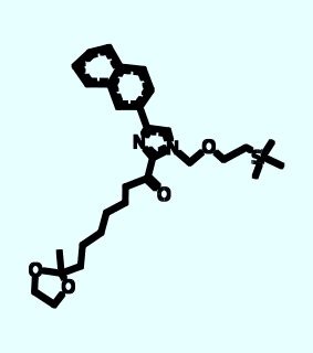 CC1(CCCCCCC(=O)c2nc(-c3ccc4ccccc4c3)cn2COCC[Si](C)(C)C)OCCO1